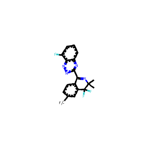 CC1(C)N=C(c2nnc3c(F)cccc3n2)c2ccc(C(F)(F)F)cc2C1(F)F